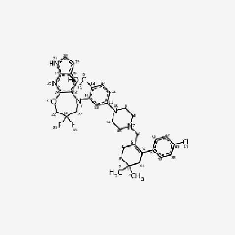 CC1(C)CCC(CN2CCN(c3ccc(C(=O)O)c(N4CC(F)(F)COc5nc6[nH]ccc6cc54)c3)CC2)=C(c2ccc(Cl)cc2)C1